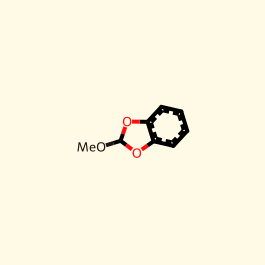 CO[C]1Oc2ccccc2O1